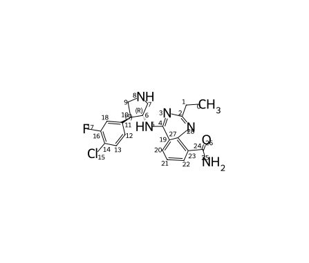 CCc1nc(N[C@H]2CNC[C@@H]2c2ccc(Cl)c(F)c2)c2cccc(C(N)=O)c2n1